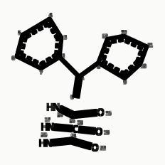 C=C(c1ccccc1)c1ccccc1.N=C=O.N=C=O.N=C=O